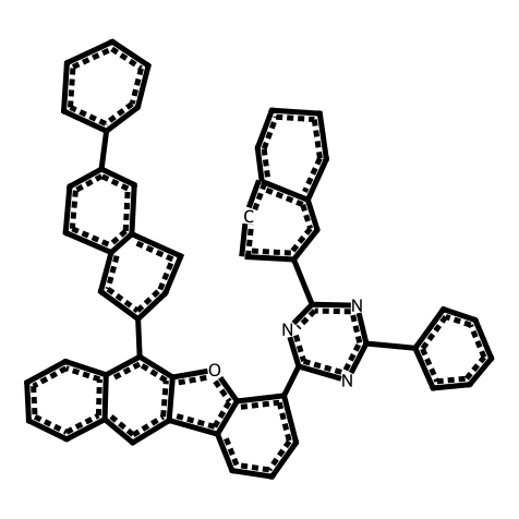 c1ccc(-c2ccc3cc(-c4c5ccccc5cc5c4oc4c(-c6nc(-c7ccccc7)nc(-c7ccc8ccccc8c7)n6)cccc45)ccc3c2)cc1